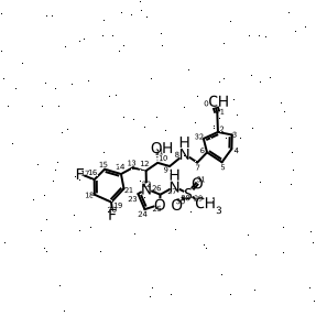 C#Cc1cccc(CNC[C@@H](O)[C@H](Cc2cc(F)cc(F)c2)N2C=COC2NS(C)(=O)=O)c1